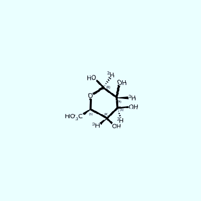 [2H][C@@]1(O)[C@@]([2H])(O)[C@]([2H])(O)[C@@H](C(=O)O)O[C@@]1([2H])O